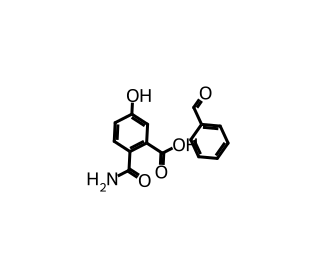 NC(=O)c1ccc(O)cc1C(=O)O.O=Cc1ccccc1